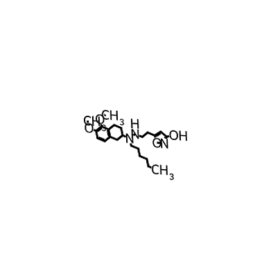 CCCCCCN(NCCc1cc(O)no1)C1CCc2c(ccc(OC)c2OC)C1